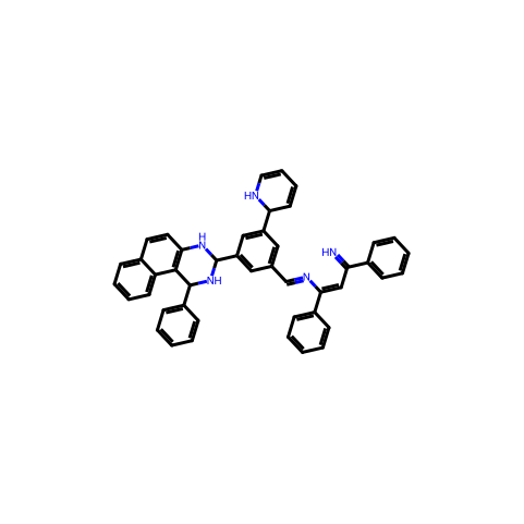 N=C(/C=C(\N=C\c1cc(C2C=CC=CN2)cc(C2Nc3ccc4ccccc4c3C(c3ccccc3)N2)c1)c1ccccc1)c1ccccc1